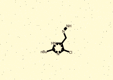 CCCCc1nc(Cl)c(CN=N)[nH]1